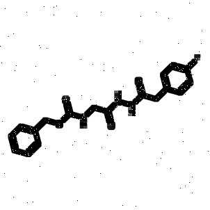 O=C(CNC(=O)OCc1ccccc1)NNC(=O)Cc1ccc(F)cc1